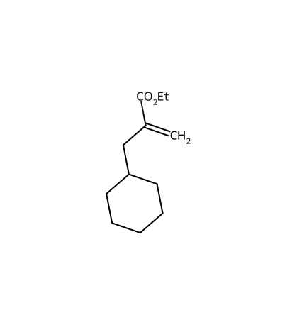 C=C(CC1CCCCC1)C(=O)OCC